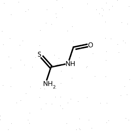 NC(=S)NC=O